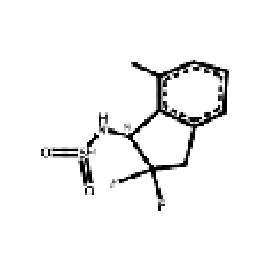 Cc1cccc2c1[C@H](N[SH](=O)=O)C(F)(F)C2